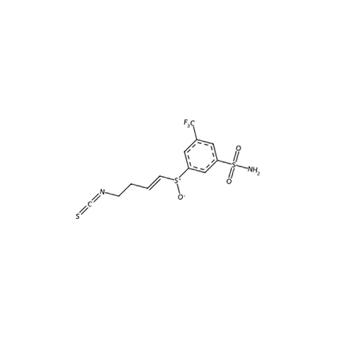 NS(=O)(=O)c1cc([S+]([O-])/C=C/CCN=C=S)cc(C(F)(F)F)c1